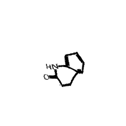 O=C1[CH]Cc2ccccc2N1